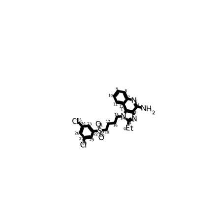 CCc1nc2c(N)nc3ccccc3c2n1CCCCS(=O)(=O)c1cc(Cl)cc(Cl)c1